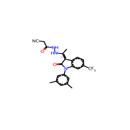 C/C(NNC(=O)CC#N)=C1/C(=O)N(c2cc(C)cc(C)c2)c2cc(C(F)(F)F)ccc21